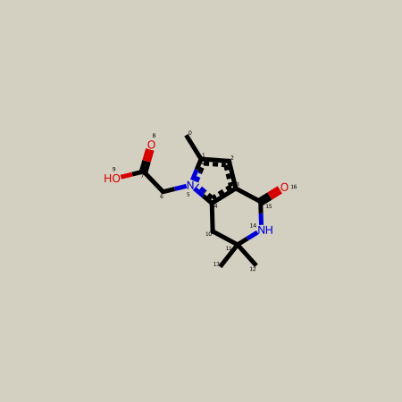 Cc1cc2c(n1CC(=O)O)CC(C)(C)NC2=O